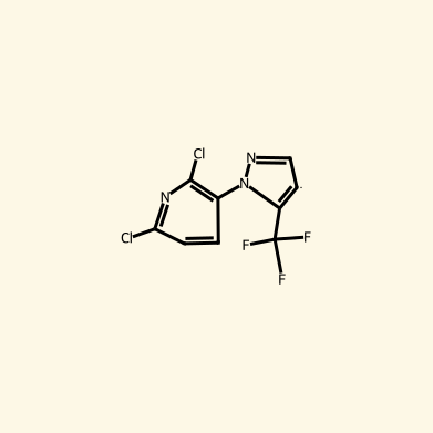 FC(F)(F)c1[c]cnn1-c1ccc(Cl)nc1Cl